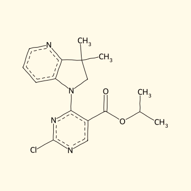 CC(C)OC(=O)c1cnc(Cl)nc1N1CC(C)(C)c2ncccc21